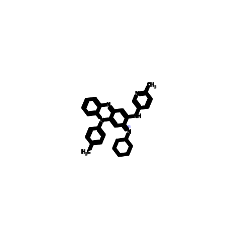 Cc1ccc(-n2c3c/c(=N\C4CCCCC4)c(Nc4ccc(C)nc4)cc-3nc3ccccc32)cc1